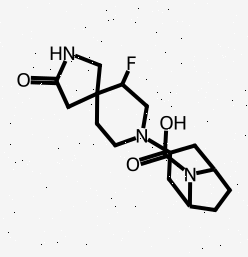 O=C1CC2(CCN(C3CC4CCC(C3)N4C(=O)O)CC2F)CN1